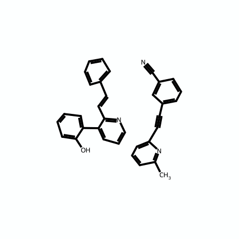 Cc1cccc(C#Cc2cccc(C#N)c2)n1.Oc1ccccc1-c1cccnc1C=Cc1ccccc1